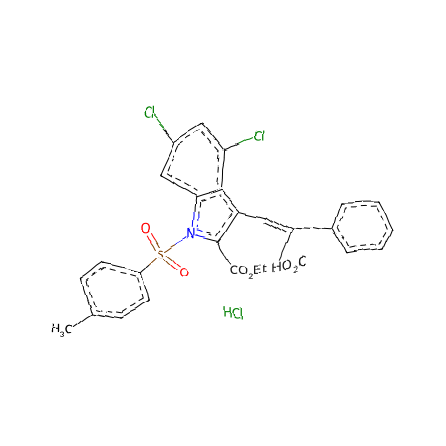 CCOC(=O)c1c(/C=C(\C(=O)O)c2ccccc2)c2c(Cl)cc(Cl)cc2n1S(=O)(=O)c1ccc(C)cc1.Cl